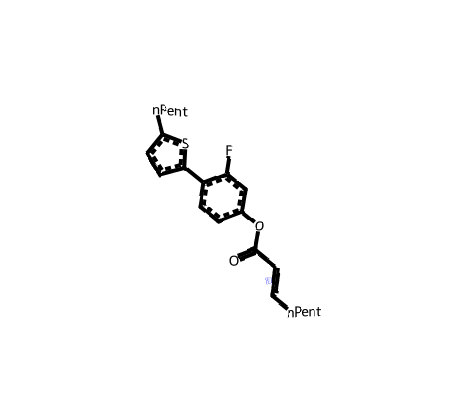 CCCCC/C=C/C(=O)Oc1ccc(-c2ccc(CCCCC)s2)c(F)c1